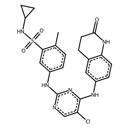 Cc1ccc(Nc2ncc(Cl)c(Nc3ccc4c(c3)CCC(=O)N4)n2)cc1S(=O)(=O)NC1CC1